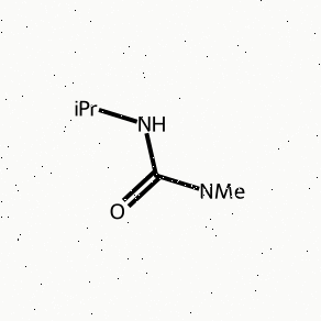 [CH2]NC(=O)NC(C)C